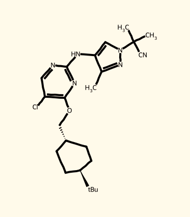 Cc1nn(C(C)(C)C#N)cc1Nc1ncc(Cl)c(OC[C@H]2CC[C@H](C(C)(C)C)CC2)n1